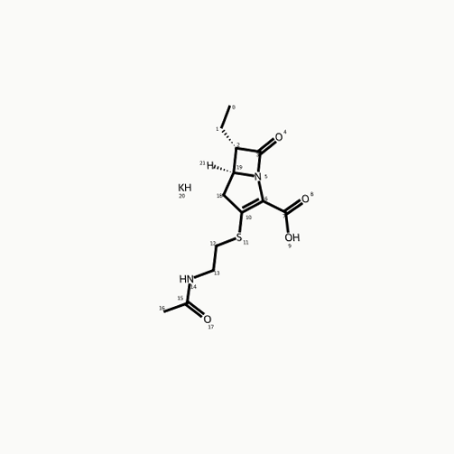 CC[C@@H]1C(=O)N2C(C(=O)O)=C(SCCNC(C)=O)C[C@@H]12.[KH]